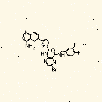 Nc1ncnc2ccc(C3=CCC(CNc4ncc(Br)nc4C(=O)NCc4ccc(F)c(F)c4)S3)cc12